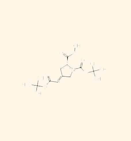 COC(=O)[C@@H]1CC(=CC(=O)OC(C)(C)C)CN1C(=O)OC(C)(C)C